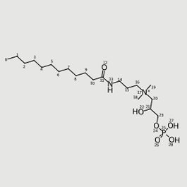 CCCCCCCCCCCC(=O)NCCC[N+](C)(C)CC(O)COP(=O)(O)O